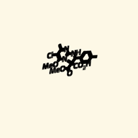 COC(=O)C(C)(C(=O)O)C(Nc1nc(C)c(Cl)c(OC)n1)c1ccc(C)cc1